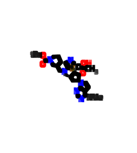 CNc1ncnc2c1ccn2[C@@H]1C[C@H](CN(CC2CCCN(C(=O)OC(C)(C)C)C2)c2cncs2)CC1OC(C)(C)O